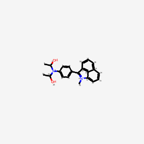 CC(O)N(c1ccc(C2=[N+](C)c3cccc4cccc2c34)cc1)C(C)O